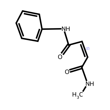 CNC(=O)/C=C\C(=O)Nc1ccccc1